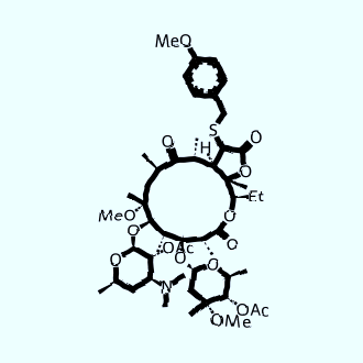 CC[C@H]1OC(=O)[C@H](C)[C@@H](O[C@H]2C[C@@](C)(OC)[C@@H](OC(C)=O)[C@H](C)O2)[C@H](C)[C@@H](O[C@@H]2O[C@H](C)C[C@H](N(C)C)[C@H]2OC(C)=O)[C@](C)(OC)C[C@@H](C)C(=O)[C@H](C)[C@H]2C(SCc3ccc(OC)cc3)C(=O)O[C@@]21C